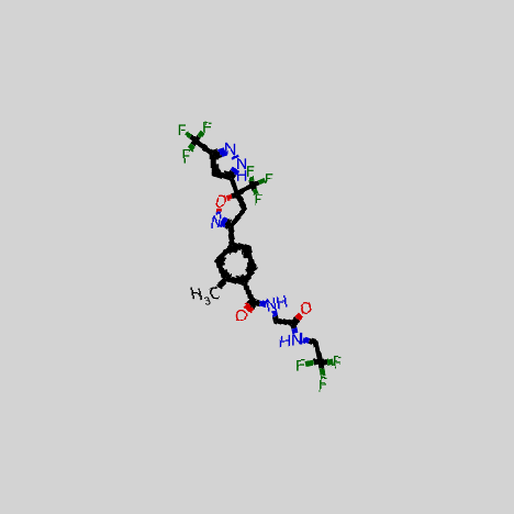 Cc1cc(C2=NOC(c3cc(C(F)(F)F)n[nH]3)(C(F)(F)F)C2)ccc1C(=O)NCC(=O)NCC(F)(F)F